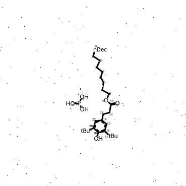 CCCCCCCCCCCCCCCCCCOC(=O)CCc1cc(C(C)(C)C)c(O)c(C(C)(C)C)c1.OP(O)O